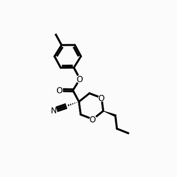 CCC[C@H]1OC[C@@](C#N)(C(=O)Oc2ccc(C)cc2)CO1